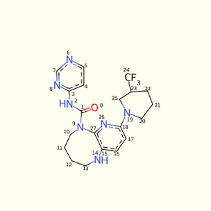 O=C(Nc1ccncn1)N1CCCCNc2ccc(N3CCCC(C(F)(F)F)C3)nc21